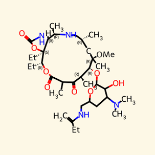 C=C(CC)NCC1CC(N(C)C)C(O)C(O[C@@H]2[C@@H](C)C(=O)C(C)C(=O)O[C@H](CC)[C@@]3(CC)OC(=O)N[C@@H]3[C@@H](C)NC[C@H](C)C[C@@]2(C)OC)O1